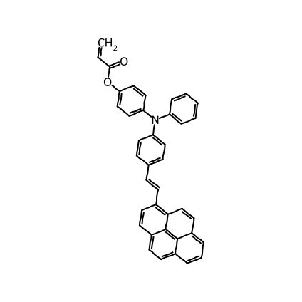 C=CC(=O)Oc1ccc(N(c2ccccc2)c2ccc(C=Cc3ccc4ccc5cccc6ccc3c4c56)cc2)cc1